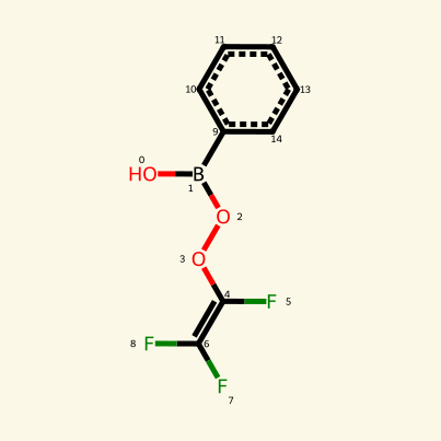 OB(OOC(F)=C(F)F)c1ccccc1